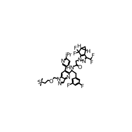 CC(C)c1ccc(-c2cc3c(cnn3COCC[Si](C)(C)C)nc2C(Cc2cc(F)cc(F)c2)NC(=O)Cn2nc(C(F)F)c3c2C(F)(F)[C@@H]2C[C@H]32)cn1